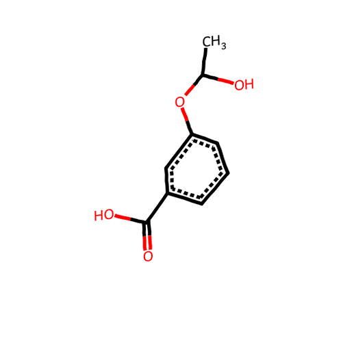 CC(O)Oc1cccc(C(=O)O)c1